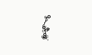 CS(=O)(=O)c1ccc([C@@H](CC2CCCC2)C(=O)Nc2ccn(CCCCCOC(=O)c3ccccc3)n2)cc1Cl